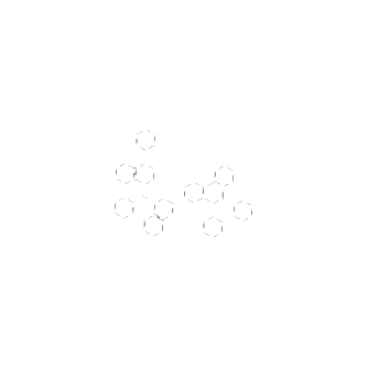 c1ccc(-c2ccc(N(c3cccc(-c4ccc5c(c4)c(-c4ccccc4)c(-c4ccccc4)c4ccccc45)c3)c3c(-c4ccccc4)cccc3-c3ccccc3)cc2)cc1